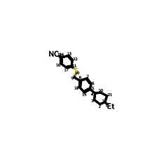 CCC1CCC(c2ccc(CSc3ccc(C#N)cc3)cc2)CC1